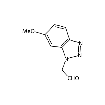 COc1ccc2nnn(CC=O)c2c1